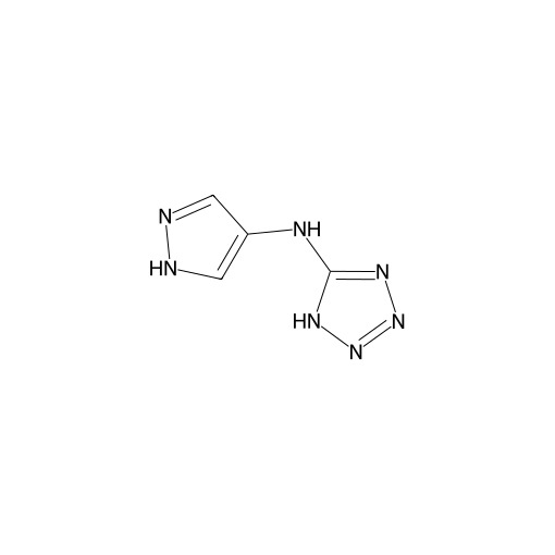 c1n[nH]cc1Nc1nnn[nH]1